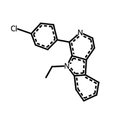 CCn1c2ccccc2c2ccnc(-c3ccc(Cl)cc3)c21